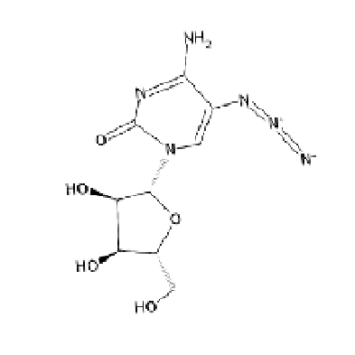 [N-]=[N+]=Nc1cn([C@@H]2O[C@H](CO)[C@@H](O)[C@H]2O)c(=O)nc1N